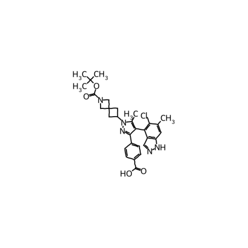 Cc1cc2[nH]ncc2c(-c2c(-c3ccc(C(=O)O)cc3)nn(C3CC4(C3)CN(C(=O)OC(C)(C)C)C4)c2C)c1Cl